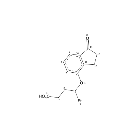 CCC(CCC(=O)O)Oc1cccc2c1CCC2=O